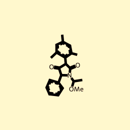 COC(C)N1C(=O)C(c2c(C)cc(C)cc2C)C(=O)C1c1ccccc1